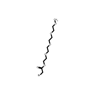 COCCOCCOCCOCCOC(=O)CBr